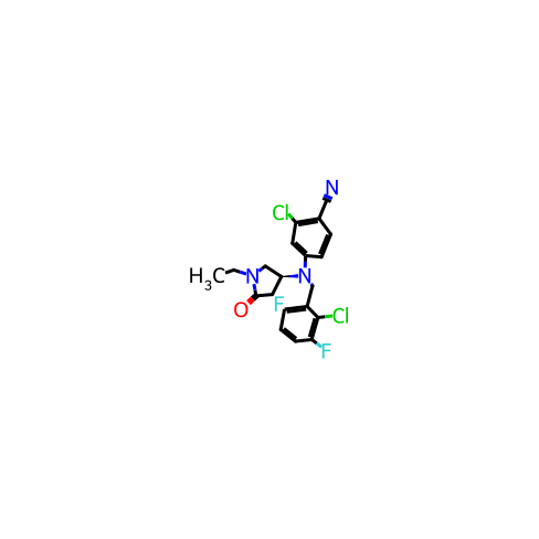 CCN1C[C@@H](N(Cc2c(F)ccc(F)c2Cl)c2ccc(C#N)c(Cl)c2)CC1=O